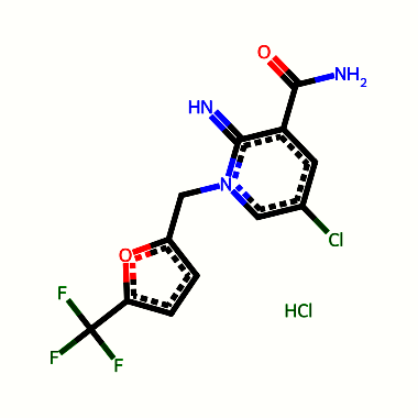 Cl.N=c1c(C(N)=O)cc(Cl)cn1Cc1ccc(C(F)(F)F)o1